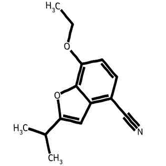 CCOc1ccc(C#N)c2cc(C(C)C)oc12